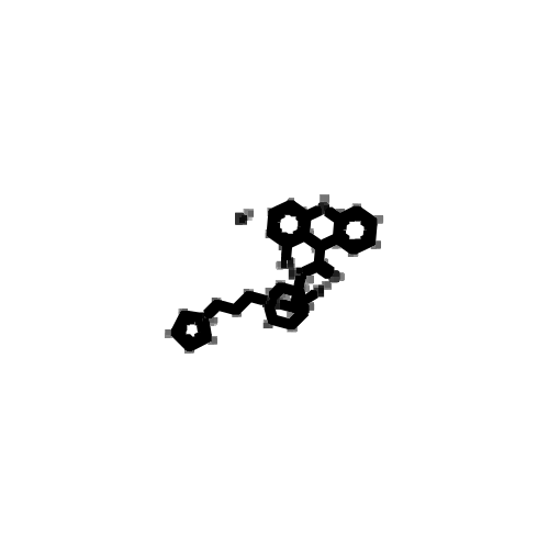 CCc1cccc2c1C(C(=O)N[C@H]1C[N+]3(CCCn4cccc4)CCC1CC3)c1ccccc1O2.[Br-]